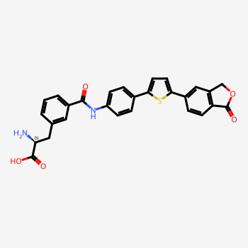 N[C@@H](Cc1cccc(C(=O)Nc2ccc(-c3ccc(-c4ccc5c(c4)COC5=O)s3)cc2)c1)C(=O)O